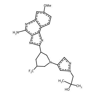 COc1ccc2c(c1)nc(N)n1nc(C3CC(C(F)(F)F)CN(c4cnn(CC(C)(C)O)c4)C3)nc21